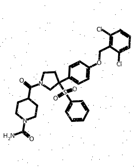 NC(=O)N1CCC(C(=O)N2CCC(c3ccc(OCc4c(Cl)cccc4Cl)cc3)(S(=O)(=O)c3ccccc3)C2)CC1